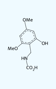 COc1cc(O)c(CNC(=O)O)c(OC)c1